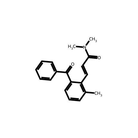 Cc1cccc(C(=O)c2ccccc2)c1/C=C/C(=O)N(C)C